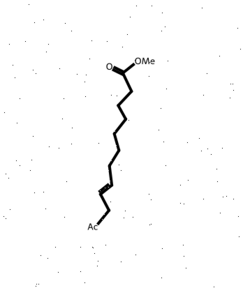 COC(=O)CCCCCC/C=C/CC(C)=O